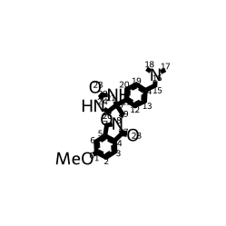 COc1ccc2c(c1)CN(CC1(c3ccc(CN(C)C)cc3)NC(=O)NC1=O)C2=O